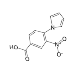 O=C(O)c1ccc(-n2cccc2)c([N+](=O)[O-])c1